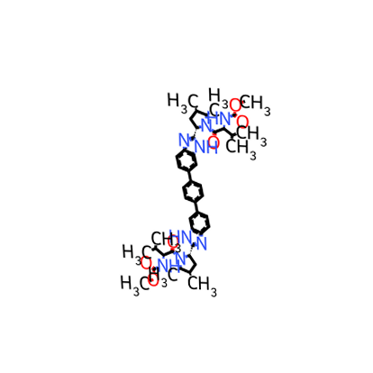 COC(=O)N[C@H](C(=O)N1[C@H](C)[C@H](C)C[C@H]1c1nc2ccc(-c3ccc(-c4ccc5nc([C@@H]6C[C@@H](C)[C@@H](C)N6C(=O)[C@@H](NC(=O)OC)C(C)C)[nH]c5c4)cc3)cc2[nH]1)C(C)C